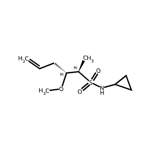 C=CC[C@@H](OC)[C@@H](C)S(=O)(=O)NC1CC1